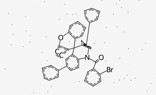 O=C(c1ccccc1Br)N1c2ccc(-c3ccccc3)cc2C2(c3ccccc3Oc3ccccc32)c2cc(-c3ccccc3)ccc21